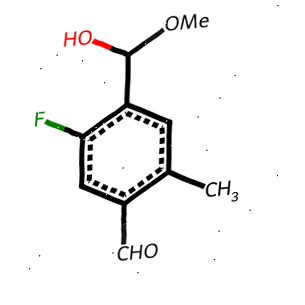 COC(O)c1cc(C)c(C=O)cc1F